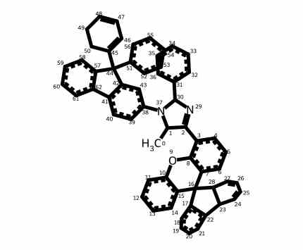 CC1C(c2cccc3c2Oc2ccccc2C32c3ccccc3C3C=CC=CC32)=NC(c2ccccc2)N1c1ccc2c(c1)C(C1=CC=CCC1)(c1ccccc1)c1ccccc1-2